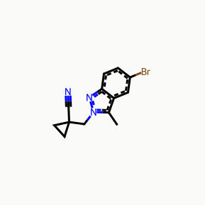 Cc1c2cc(Br)ccc2nn1CC1(C#N)CC1